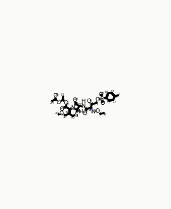 CCO/N=C(\C(=O)COS(=O)(=O)c1ccc(C)cc1)C(=O)NC1C(=O)N2C(C(=O)OC(C)OC(C)=O)=C(COC)CS[C@H]12